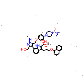 CCOC(O)c1[nH]c2c(-c3c(CO)n[nH]c3COc3ccc(N4CCN([S+]([O-])N(C)C)CC4)cc3)cccc2c1CCCOc1cccc2ccccc12